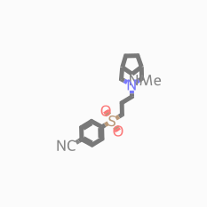 CNC1C2CCC1CN(CCCS(=O)(=O)c1ccc(C#N)cc1)C2